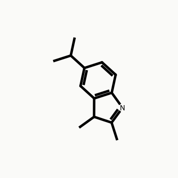 CC1=Nc2ccc(C(C)C)cc2C1C